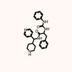 O=C(Nc1ccccc1)NC(Cc1ccccc1)C(=O)NC(c1ccncc1)C1CCNCC1